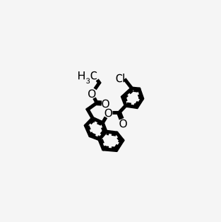 CCOC(=O)Cc1ccc2ccccc2c1OC(=O)c1cccc(Cl)c1